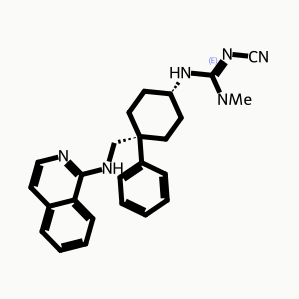 CN/C(=N\C#N)N[C@H]1CC[C@](CNc2nccc3ccccc23)(c2ccccc2)CC1